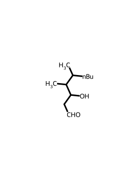 CCCCC(C)C(C)C(O)CC=O